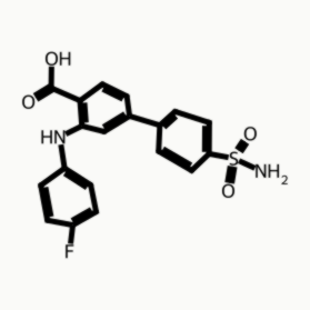 NS(=O)(=O)c1ccc(-c2ccc(C(=O)O)c(Nc3ccc(F)cc3)c2)cc1